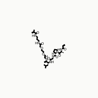 C=CC(=O)N[C@@H](C)C(=O)N1CCC[C@H]1C(=O)NCC(=O)N[C@@H](CC(C)C)C(=C)NCCOCCOCC(=O)NCCCNC(=O)C(=C)C